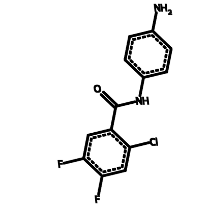 Nc1ccc(NC(=O)c2cc(F)c(F)cc2Cl)cc1